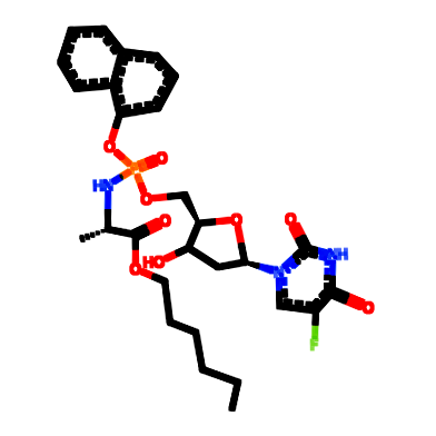 CCCCCCOC(=O)[C@H](C)NP(=O)(OC[C@H]1O[C@@H](n2cc(F)c(=O)[nH]c2=O)CC1O)Oc1cccc2ccccc12